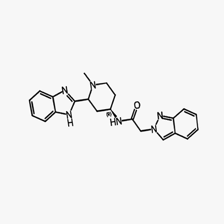 CN1CC[C@@H](NC(=O)Cn2cc3ccccc3n2)CC1c1nc2ccccc2[nH]1